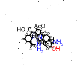 CC(=O)O[C@H]1C[C@@]2(C)[C@@H](C[C@H](N)[C@H]3[C@@]4(C)CC[C@@H](O)[C@@H](N)[C@@H]4CC[C@@]32N)/C1=C(/C(=O)O)C1CCCC(=C(C)C)C1